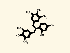 Cc1cc(CC(Cc2cc(C)c(O)c(C)c2)c2ccc(O)cc2O)cc(C)c1O